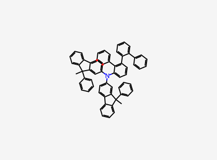 CC1(c2ccccc2)c2ccccc2-c2ccc(N(c3ccc4c(c3)C(C)(c3ccccc3)c3ccccc3-4)c3cccc(-c4ccccc4-c4ccccc4)c3-c3ccccc3)cc21